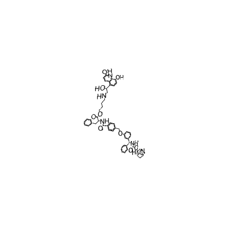 O=C(NC(c1ccccc1)c1cccc(OCc2ccc(C(=O)NC(Cc3ccccc3)C(=O)OCCCCNC[C@@H](O)c3ccc(O)c4[nH]c(=O)ccc34)cc2)c1)O[C@H]1CN2CCC1CC2